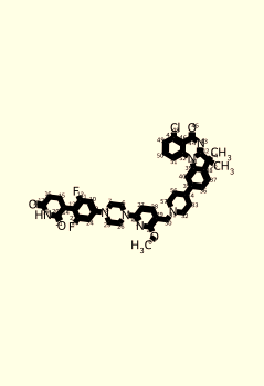 COc1nc(N2CCN(c3cc(F)c(C4CCC(=O)NC4=O)c(F)c3)CC2)ccc1CN1CCC(c2ccc3c(c2)-n2c(nc(=O)c4c(Cl)cccc42)C3(C)C)CC1